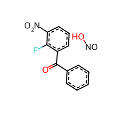 O=C(c1ccccc1)c1cccc([N+](=O)[O-])c1F.O=NO